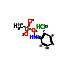 CS(=O)(=O)ONc1ccccc1.Cl